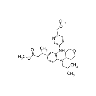 COCc1ccc(Nc2cc(C(C)CC(=O)OC)ccc2N(CC(C)C)C2CCOCC2)cn1